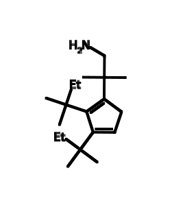 CCC(C)(C)C1=CCC(C(C)(C)CN)=C1C(C)(C)CC